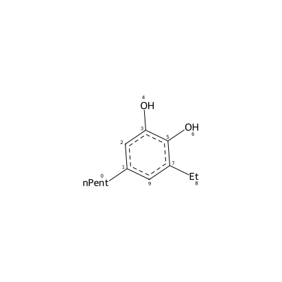 CCCCCc1cc(O)c(O)c(CC)c1